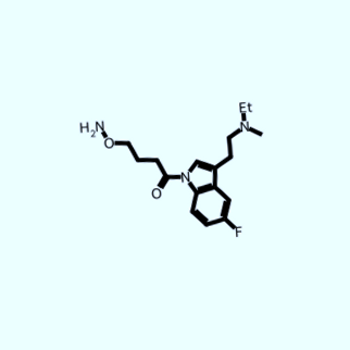 CCN(C)CCc1cn(C(=O)CCCON)c2ccc(F)cc12